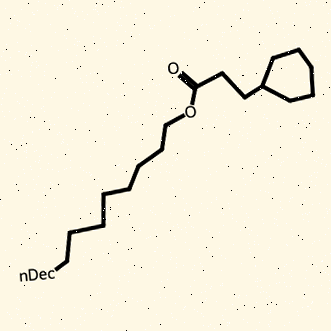 CCCCCCCCCCCCCCCCCCOC(=O)CCC1CCCCC1